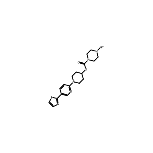 CC(C)N1CCN(C(=O)OC2CCN(c3ccc(-c4nccs4)cn3)CC2)CC1